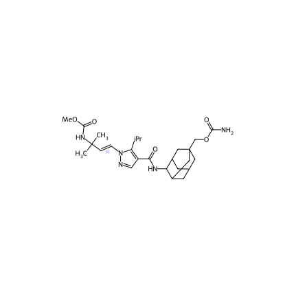 COC(=O)NC(C)(C)/C=C/n1ncc(C(=O)NC2C3CC4CC2CC(COC(N)=O)(C4)C3)c1C(C)C